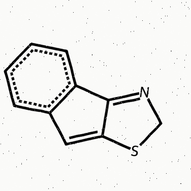 C1=C2SCN=C2c2ccccc21